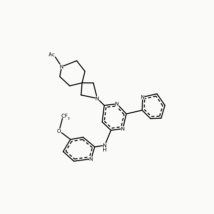 CC(=O)N1CCC2(CC1)CN(c1cc(Nc3cc(OC(F)(F)F)ccn3)nc(-c3ccccn3)n1)C2